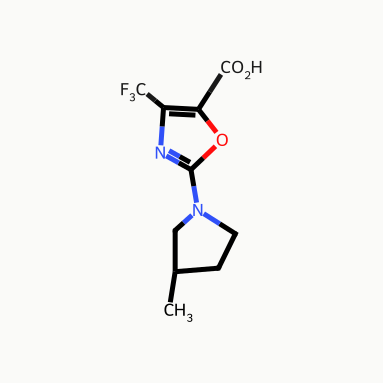 CC1CCN(c2nc(C(F)(F)F)c(C(=O)O)o2)C1